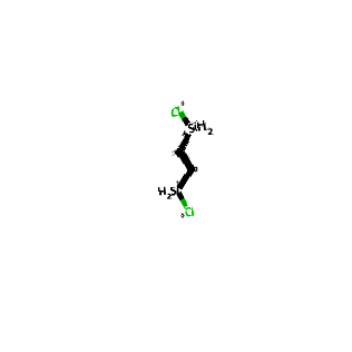 Cl[SiH2]CC[SiH2]Cl